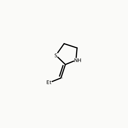 CC/[C]=C1/NCCS1